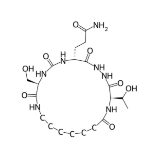 CC(O)[C@H]1NC(=O)CCCCCCNC(=O)[C@@H](CO)NC(=O)N[C@H](CCC(N)=O)C(=O)NNC1=O